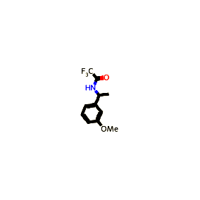 COc1cccc(C(C)NC(=O)C(F)(F)F)c1